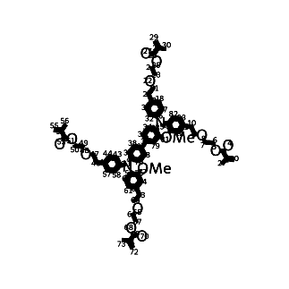 C=C(C)C(=O)OCCOCCc1ccc(N(c2ccc(CCOCCOC(=O)C(=C)C)cc2)c2ccc(-c3ccc(N(c4ccc(CCOCCOC(=O)C(=C)C)cc4)c4ccc(CCOCCOC(=O)C(=C)C)cc4)c(OC)c3)cc2OC)cc1